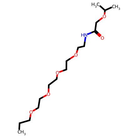 CCCOCCOCCOCCOCCNC(=O)COC(C)C